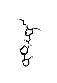 COc1cc(CC(=O)Nc2cccc(-c3ccccc3Cl)c2)ccc1OCCN